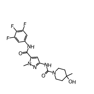 Cn1nc(NC(=O)N2CCC(C)(O)CC2)cc1C(=O)Nc1cc(F)c(F)c(F)c1